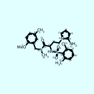 COc1ccc(C)cc1CN(C)C(=O)C(CCn1cccc1N)NS(=O)(=O)c1c(C)cccc1Cl